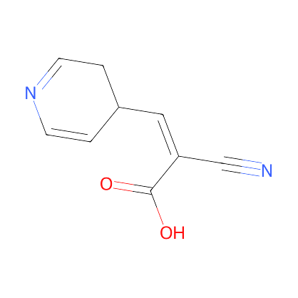 N#CC(=CC1C=CN=CC1)C(=O)O